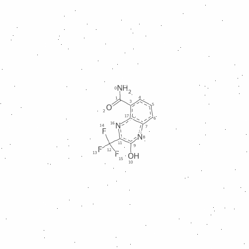 NC(=O)c1cccc2nc(O)c(C(F)(F)F)nc12